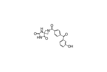 O=C1NC(=O)C2(CN(C(=O)c3ccc(C(=O)c4cccc(O)c4)cc3)C2)N1